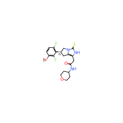 O=C(Cc1[nH]c(=S)n2c1C[C@@H](c1c(F)ccc(Br)c1F)C2)NC1CCOCC1